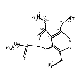 CC(CC(C)C)=C(CCC(=O)NN)C(C(=O)NN)=C(C)CC(C)C